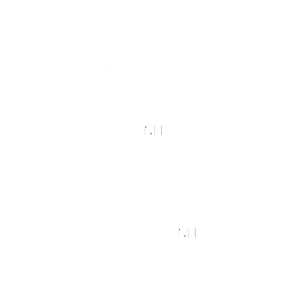 CCC(CN)CNC1CC1